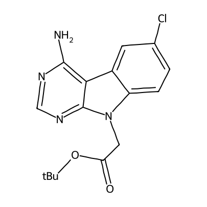 CC(C)(C)OC(=O)Cn1c2ccc(Cl)cc2c2c(N)ncnc21